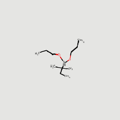 CCCO[SiH](OCCC)C(C)(C)CC